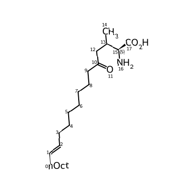 CCCCCCCCC=CCCCCCCCC(=O)CC(C)[C@H](N)C(=O)O